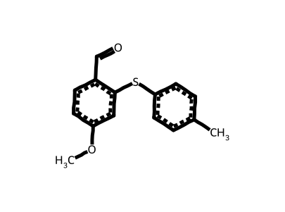 COc1ccc(C=O)c(Sc2ccc(C)cc2)c1